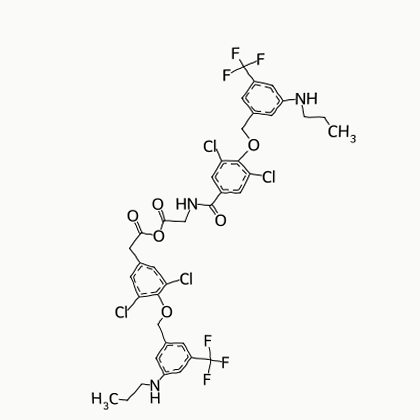 CCCNc1cc(COc2c(Cl)cc(CC(=O)OC(=O)CNC(=O)c3cc(Cl)c(OCc4cc(NCCC)cc(C(F)(F)F)c4)c(Cl)c3)cc2Cl)cc(C(F)(F)F)c1